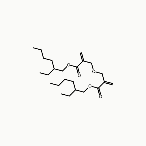 C=C(COCC(=C)C(=O)OCC(CC)CCCC)C(=O)OCC(CC)CCCC